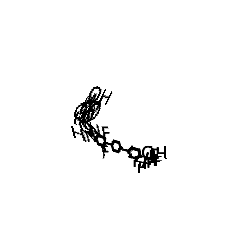 O[C@@H]1CO[C@H]2[C@@H]1OC[C@H]2Oc1nc2c(F)c(-c3ccc(-c4ccc(C(O)(C(F)(F)F)C(F)(F)F)cc4)cc3)c(F)cc2[nH]1